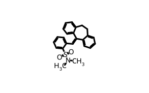 CN(C)S(=O)(=O)c1ccccc1C=C1c2ccccc2CCc2ccccc21